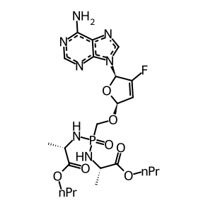 CCCOC(=O)[C@H](C)NP(=O)(CO[C@@H]1C=C(F)[C@H](n2cnc3c(N)ncnc32)O1)N[C@@H](C)C(=O)OCCC